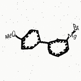 COc1ccc(-c2ccc[c]([Mg][Br])c2)cc1